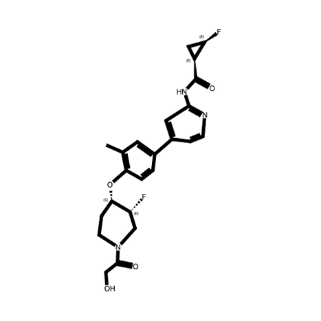 Cc1cc(-c2ccnc(NC(=O)[C@H]3C[C@H]3F)c2)ccc1O[C@H]1CCN(C(=O)CO)C[C@H]1F